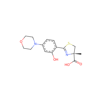 C[C@]1(C(=O)O)CSC(c2ccc(N3CCOCC3)cc2O)=N1